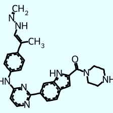 C=NN/C=C(\C)c1ccc(Nc2ccnc(-c3ccc4cc(C(=O)N5CCNCC5)[nH]c4c3)n2)cc1